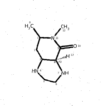 CC1CC2NCCN[C@@H]2C(=O)N1C